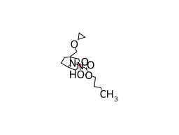 CCCCOC(=O)N1CC2CCC(COC3CC3)(C1)N2C(=O)O